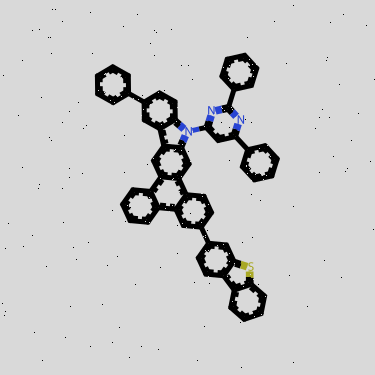 c1ccc(-c2ccc3c(c2)c2cc4c5ccccc5c5cc(-c6ccc7c(c6)sc6ccccc67)ccc5c4cc2n3-c2cc(-c3ccccc3)nc(-c3ccccc3)n2)cc1